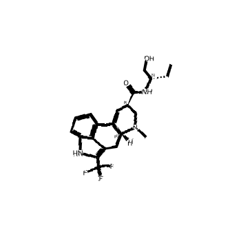 CC[C@@H](CO)NC(=O)[C@@H]1C=C2c3cccc4[nH]c(C(F)(F)F)c(c34)C[C@H]2N(C)C1